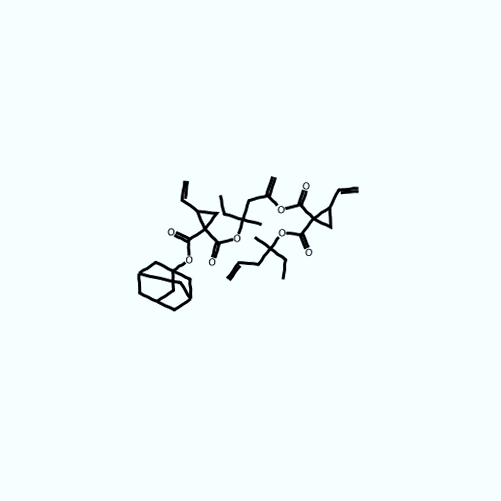 C=CCC(C)(CC)OC(=O)C1(C(=O)OC(=C)CC(C)(CC)OC(=O)C2(C(=O)OC34CC5CC(CC(C5)C3)C4)CC2C=C)CC1C=C